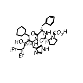 CC[C@@H](C[C@H](O)[C@@H](CC1CCCCC1)[C@H](Cc1c[nH]cn1)NC(=O)[C@H](Cc1ccccc1)NC(=O)[C@H]1CCCN1C(=O)O)C(C)C